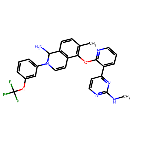 CNc1nccc(-c2cccnc2Oc2c(C)ccc3c2C=CN(c2cccc(OC(F)(F)F)c2)C3N)n1